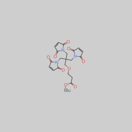 CC(C)(C)OC(=O)CCOCC(CN1C(=O)C=CC1=O)(CN1C(=O)C=CC1=O)CN1C(=O)C=CC1=O